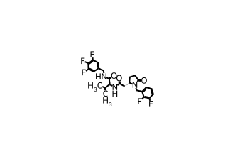 CC(C)C(NC(=O)C[C@@H]1CCC(=O)N1Cc1cccc(F)c1F)C(=O)NCc1cc(F)c(F)c(F)c1